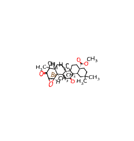 COC(=O)[C@]12CCC(C)(C)CC1C1C(=O)C=C3[C@@]4(C)[C@H]5O[C@@]5(Br)C(=O)C(C)(C)[C@@H]4CC[C@@]3(C)[C@]1(C)CC2